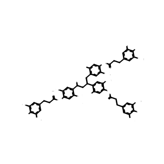 Cc1cc(OC(=O)CCc2cc(C(C)(C)C)c(O)c(C(C)(C)C)c2)c(C(C)(C)C)cc1CC(CC(C)c1cc(C(C)(C)C)c(OC(=O)CCc2cc(C(C)(C)C)c(O)c(C(C)(C)C)c2)cc1C)c1cc(C(C)(C)C)c(OC(=O)CCc2cc(C(C)(C)C)c(O)c(C(C)(C)C)c2)cc1C